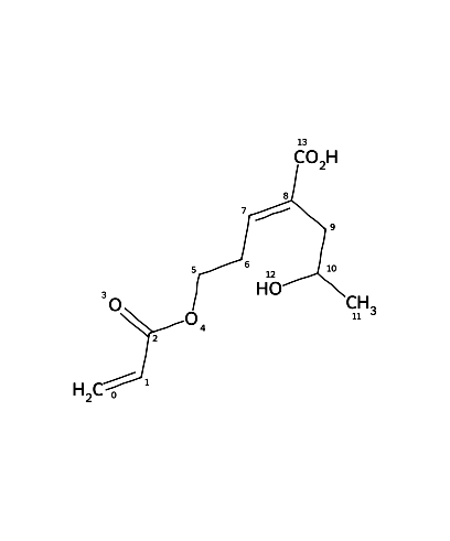 C=CC(=O)OCCC=C(CC(C)O)C(=O)O